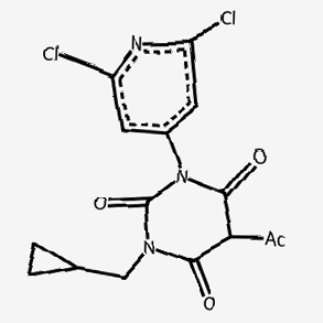 CC(=O)C1C(=O)N(CC2CC2)C(=O)N(c2cc(Cl)nc(Cl)c2)C1=O